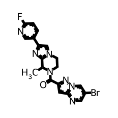 CC1c2nc(-c3ccc(F)nc3)cn2CCN1C(=O)c1cc2ncc(Br)cn2n1